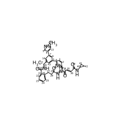 CCn1ccc(-c2cc(-c3cnn(C)c3)cc([C@@H](C)NC(=O)c3ccccc3CCC(=O)NNC(=O)/C=C/C(=O)NC3CC3)c2)n1